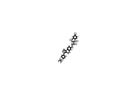 FC(F)(F)Oc1ccc(-c2onc3c2CCc2cc(/C=N/NC(=S)Nc4ccc(Cl)cc4Cl)ccc2-3)cc1